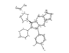 Cc1cc(-n2c(C3CCOCC3)c([C@H]3CO[C@H](C(=O)O)C3)c3nc4[nH]ncc4cc32)ccc1F